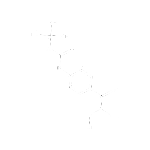 CON(C)C(=O)c1ccc(NC(=O)OC(C)(C)C)cc1